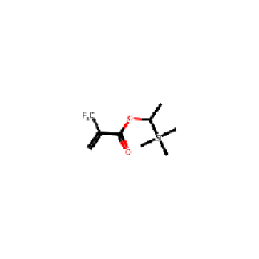 C=C(C(=O)OC(C)[Si](C)(C)C)C(F)(F)F